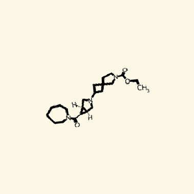 CCOC(=O)N1CCC2(CC(N3C[C@@H]4[C@H](C3)[C@@H]4C(=O)N3CCCCCC3)C2)C1